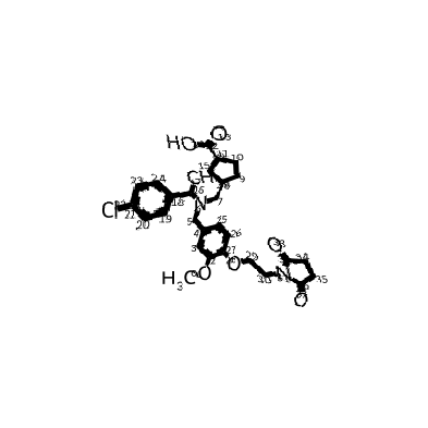 COc1cc(CN(C[C@@H]2CC[C@H](C(=O)O)C2)C(C)c2ccc(Cl)cc2)ccc1OCCN1C(=O)CCC1=O